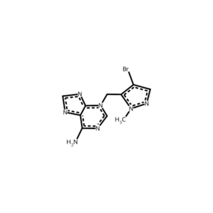 Cn1ncc(Br)c1Cn1cnc(N)c2ncnc1-2